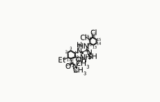 CCc1ccc(NC(=N)/C(=N\S)Nc2cccc(Cl)c2Cl)c(O)c1C(=O)N(C)C